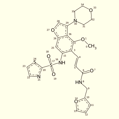 COc1c(/C=C/C(=O)NCc2ccco2)c(NS(=O)(=O)c2nccs2)cc2occ(N3CCOCC3)c12